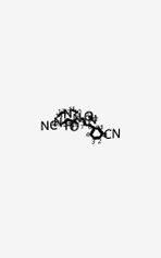 N#Cc1cccc(-c2cc(N3CCN4CCN(C#N)C[C@H]4C3=O)on2)c1